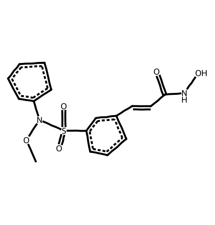 CON(c1ccccc1)S(=O)(=O)c1cccc(C=CC(=O)NO)c1